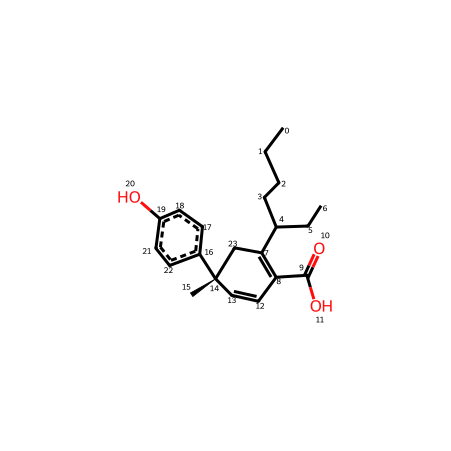 CCCCC(CC)C1=C(C(=O)O)C=C[C@](C)(c2ccc(O)cc2)C1